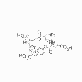 CCCNC(CCOC(=O)C(N)CC(C)C)C(=O)O.NC(Cc1ccc(OC(=O)C(N)CCC(=O)O)cc1)C(=O)O